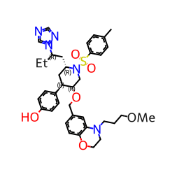 CC[C@H](C[C@H]1C[C@H](c2ccc(O)cc2)[C@@H](OCc2ccc3c(c2)N(CCCOC)CCO3)CN1S(=O)(=O)c1ccc(C)cc1)n1cncn1